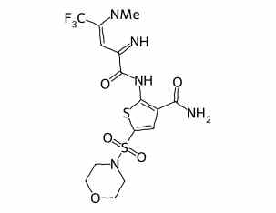 CN/C(=C\C(=N)C(=O)Nc1sc(S(=O)(=O)N2CCOCC2)cc1C(N)=O)C(F)(F)F